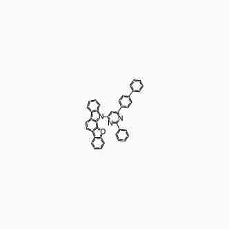 c1ccc(-c2ccc(-c3cc(-n4c5ccccc5c5ccc6c7ccccc7oc6c54)nc(-c4ccccc4)n3)cc2)cc1